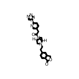 O=C1OCc2cc(CCN3C[C@@H]4C[C@H]3CN4C(=O)Cc3ccc(-n4cnnn4)nc3)ccc21